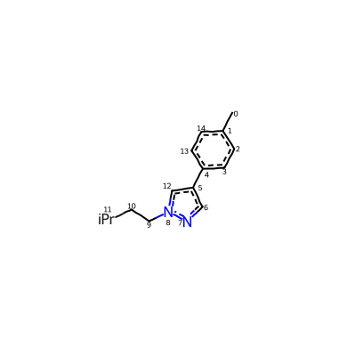 Cc1ccc(-c2cnn(CCC(C)C)c2)cc1